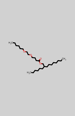 CCCCCCCCC(CCCCCC)COC(=O)CCCOCCOCCCCCC